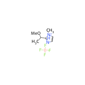 COC(C)C1=NC=C[NH+]1C.F[B-](F)(F)F